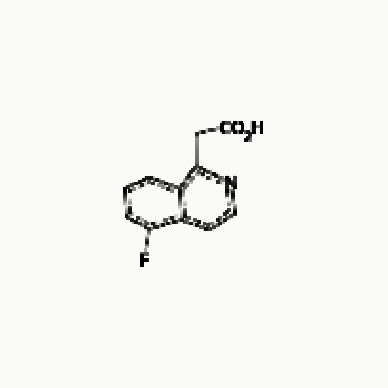 O=C(O)Cc1nccc2c(F)cccc12